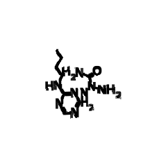 CCCCNc1ncncn1.NC(=O)N(N)N